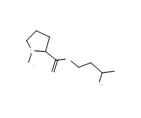 CC(O)CCOC(=O)C1CCCN1C=O